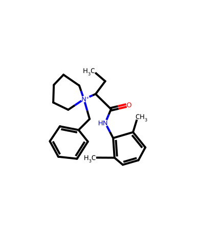 CCC(C(=O)Nc1c(C)cccc1C)[N+]1(Cc2ccccc2)CCCCC1